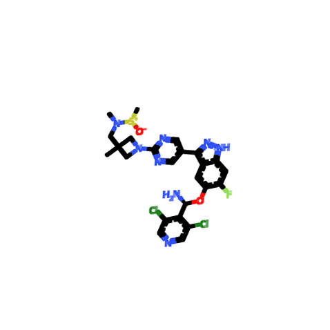 CN(CC1(C)CN(c2ncc(-c3n[nH]c4cc(F)c(O[C@H](N)c5c(Cl)cncc5Cl)cc34)cn2)C1)[S+](C)[O-]